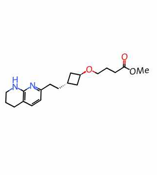 COC(=O)CCCO[C@H]1C[C@H](CCc2ccc3c(n2)NCCC3)C1